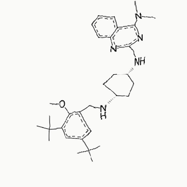 COc1c(CN[C@H]2CC[C@@H](Nc3nc(N(C)C)c4ccccc4n3)CC2)cc(C(C)(C)C)cc1C(C)(C)C